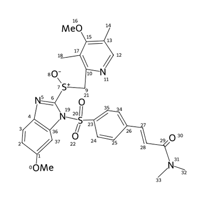 COc1ccc2nc([S+]([O-])Cc3ncc(C)c(OC)c3C)n(S(=O)(=O)c3ccc(C=CC(=O)N(C)C)cc3)c2c1